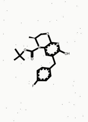 C[C@H]1COc2nc(O)c(Cc3ccc(F)cc3)cc2N1C(=O)OC(C)(C)C